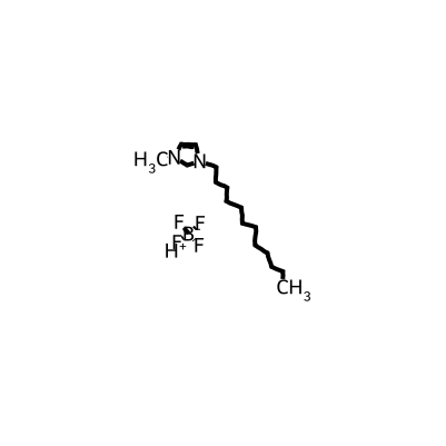 CCCCCCCCCCCCN1C=CN(C)C1.F[B-](F)(F)F.[H+]